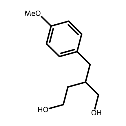 COc1ccc(CC(CO)CCO)cc1